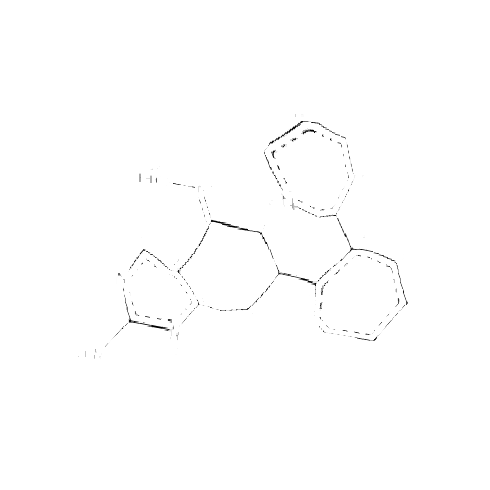 Nc1ncc2c(n1)CC(c1ccccc1-c1ccccn1)C/C2=N/O